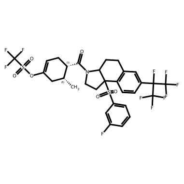 C[C@@H]1CC(OS(=O)(=O)C(F)(F)F)=CC[C@@H]1C(=O)N1CCC2(S(=O)(=O)c3cccc(F)c3)c3ccc(C(F)(C(F)(F)F)C(F)(F)F)cc3CCC12